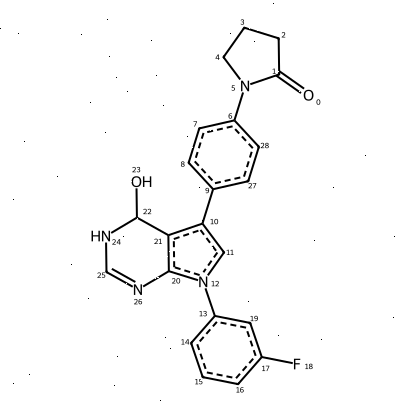 O=C1CCCN1c1ccc(-c2cn(-c3cccc(F)c3)c3c2C(O)NC=N3)cc1